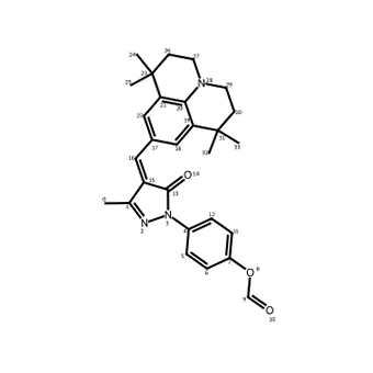 CC1=NN(c2ccc(OC=O)cc2)C(=O)/C1=C\c1cc2c3c(c1)C(C)(C)CCN3CCC2(C)C